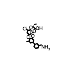 CC[C@@H](Oc1nc(Oc2cc(C)cc(-c3cccc(CN)c3)c2)c(Cl)cc1Cl)C(=O)O